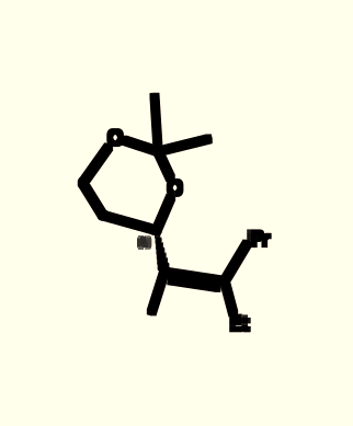 CCC(=C(C)[C@@H]1CCOC(C)(C)O1)C(C)C